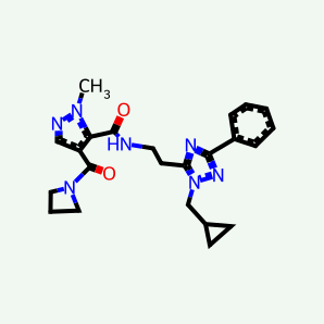 Cn1ncc(C(=O)N2CCC2)c1C(=O)NCCc1nc(-c2ccccc2)nn1CC1CC1